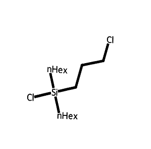 CCCCCC[Si](Cl)(CCCCl)CCCCCC